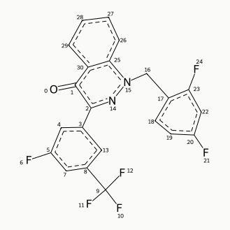 O=c1c(-c2cc(F)cc(C(F)(F)F)c2)nn(Cc2ccc(F)cc2F)c2ccccc12